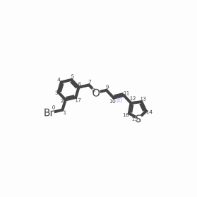 BrCc1cccc(COC/C=C/c2ccsc2)c1